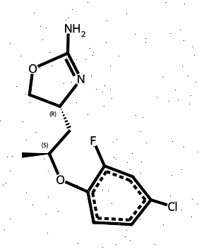 C[C@@H](C[C@@H]1COC(N)=N1)Oc1ccc(Cl)cc1F